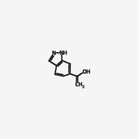 C=C(O)c1ccc2cn[nH]c2c1